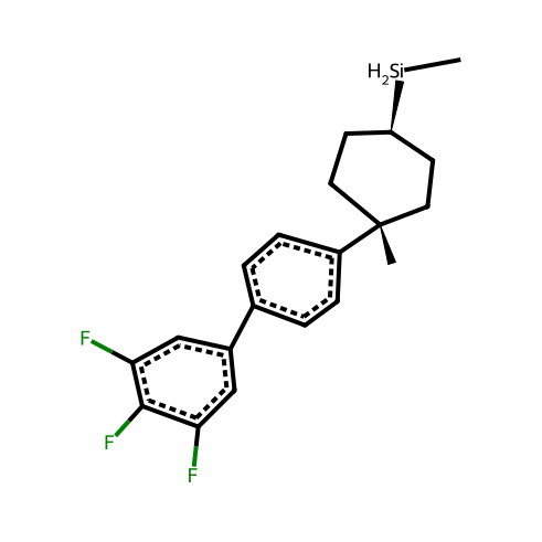 C[SiH2][C@H]1CC[C@](C)(c2ccc(-c3cc(F)c(F)c(F)c3)cc2)CC1